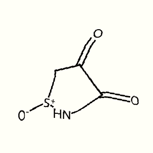 O=C1C[S+]([O-])NC1=O